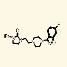 CC(C)N1CCN(CCN2CCN(c3noc4cc(F)ccc34)CC2)C1=O